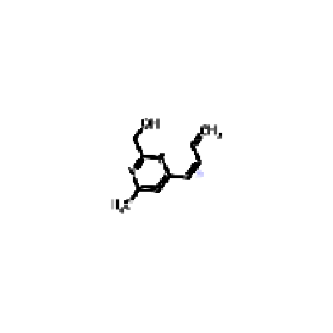 C=C/C=C\C1=C=C(C)N=C(CO)S1